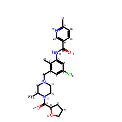 CCC1CN(Cc2cc(Cl)cc(NC(=O)c3ccc(C)nc3)c2C)CCN1C(=O)C1CCCO1